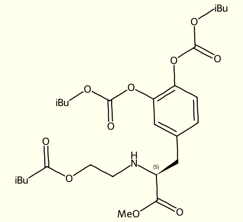 CCC(C)OC(=O)Oc1ccc(C[C@H](NCCOC(=O)C(C)CC)C(=O)OC)cc1OC(=O)OC(C)CC